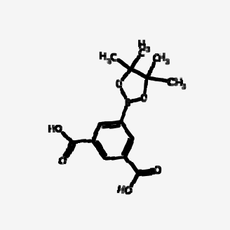 CC1(C)OB(c2cc(C(=O)O)cc(C(=O)O)c2)OC1(C)C